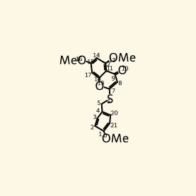 COc1ccc(CSc2cc(=O)c3c(OC)cc(OC)cc3o2)cc1